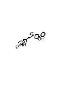 O=C1CCc2cc(/C=C/C(=O)N3CCC(O)(c4ccccc4)CC3)cnc2N1